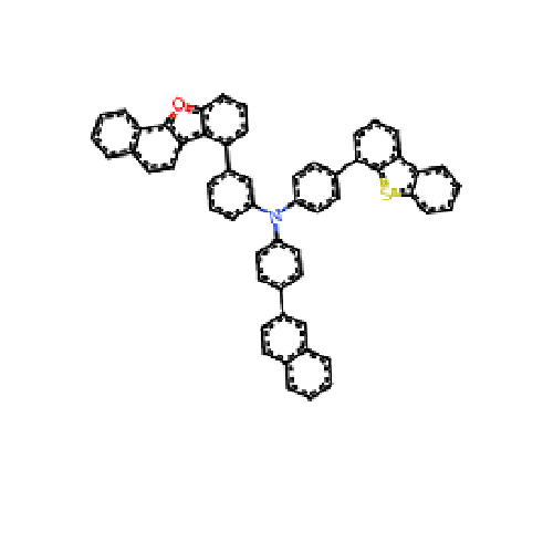 c1cc(-c2cccc3oc4c5ccccc5ccc4c23)cc(N(c2ccc(-c3ccc4ccccc4c3)cc2)c2ccc(-c3cccc4c3sc3ccccc34)cc2)c1